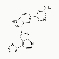 Nc1cncc(-c2ccc3[nH]nc(-c4cc5c(-c6cccs6)ccnc5[nH]4)c3c2)c1